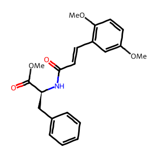 COC(=O)[C@H](Cc1ccccc1)NC(=O)/C=C/c1cc(OC)ccc1OC